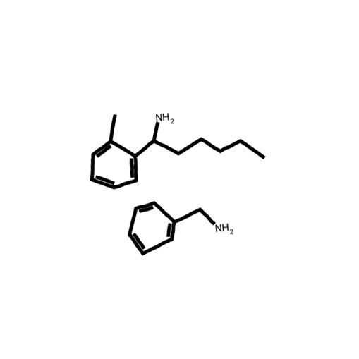 CCCCCC(N)c1ccccc1C.NCc1ccccc1